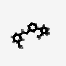 N#Cc1[nH]nnc1-c1cccc(COc2cccc(C(F)(F)F)n2)c1